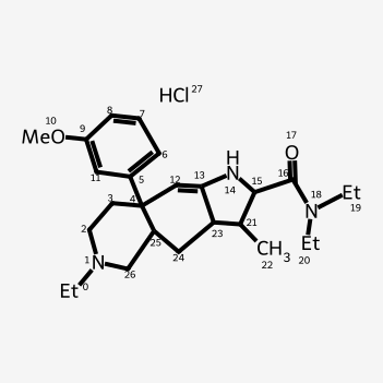 CCN1CCC2(c3cccc(OC)c3)C=C3NC(C(=O)N(CC)CC)C(C)C3CC2C1.Cl